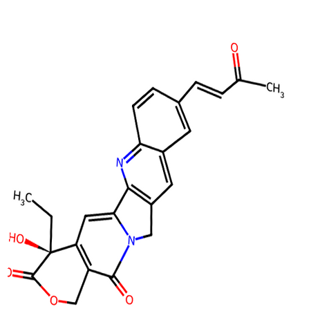 CC[C@@]1(O)C(=O)OCc2c1cc1n(c2=O)Cc2cc3cc(C=CC(C)=O)ccc3nc2-1